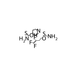 NC(=S)OCCC(F)=C(F)F.NC(O)=S.c1ccncc1